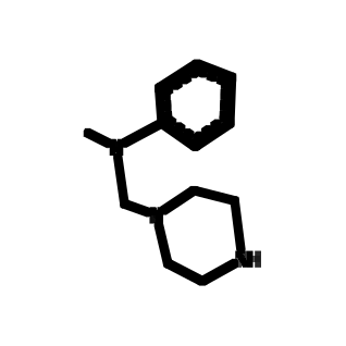 CN(CN1CCNCC1)c1ccccc1